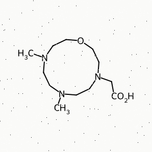 CN1CCOCCN(CC(=O)O)CCN(C)CC1